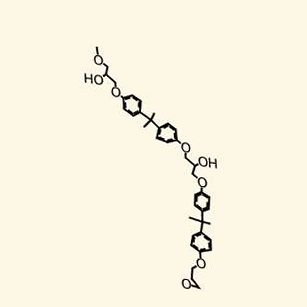 COCC(O)COc1ccc(C(C)(C)c2ccc(OCC(O)COc3ccc(C(C)(C)c4ccc(OCC5CO5)cc4)cc3)cc2)cc1